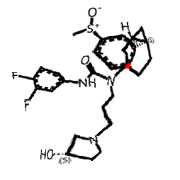 C[S+]([O-])c1cccc([C@]23CCC(N(CCCN4CC[C@H](O)C4)C(=O)Nc4ccc(F)c(F)c4)C[C@@H]2C3)c1